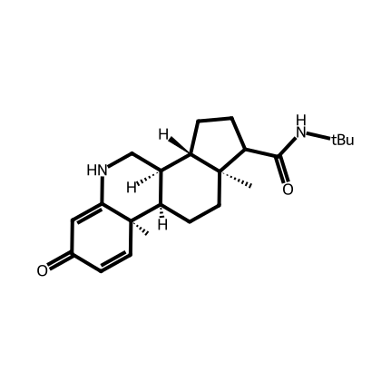 CC(C)(C)NC(=O)C1CC[C@H]2[C@@H]3CNC4=CC(=O)C=C[C@]4(C)[C@@H]3CC[C@]12C